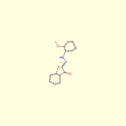 COc1ccccc1N/C=C1\Sc2ccccc2C1=O